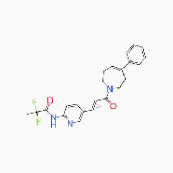 CC(F)(F)C(=O)Nc1ccc(/C=C/C(=O)N2CCC=C(c3ccccc3)CC2)cn1